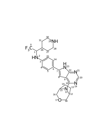 FC(F)(F)C(Nc1ccc(-c2cc3c(N4C5CCC4COC5)ncnc3[nH]2)cc1)C1CCNCC1